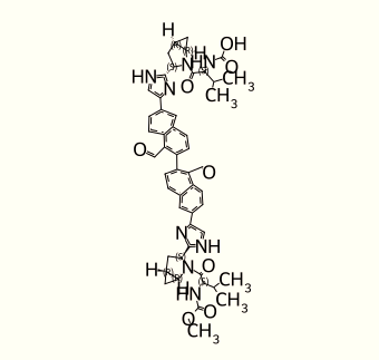 COC(=O)N[C@H](C(=O)N1[C@@H]2C[C@@H]2C[C@H]1c1nc(-c2ccc3c(C=O)c(-c4ccc5cc(-c6c[nH]c([C@@H]7C[C@H]8C[C@H]8N7C(=O)[C@@H](NC(=O)O)C(C)C)n6)ccc5c4C=O)ccc3c2)c[nH]1)C(C)C